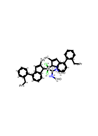 CCCC1=Cc2c(-c3ccccc3CC(C)C)cccc2[CH]1[Hf]([Cl])([Cl])([B](NC=O)NC=O)[CH]1C(CCC)=Cc2c(-c3ccccc3CC(C)C)cccc21